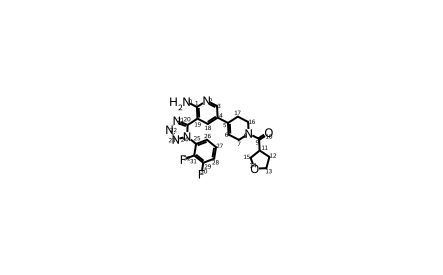 Nc1ncc(C2=CCN(C(=O)C3CCOC3)CC2)cc1-c1nnnn1-c1cccc(F)c1F